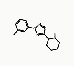 Cc1cccc(-n2nnc(C3CCCCN3)n2)c1